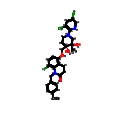 COc1ccc(CN2C(=O)CCc3c(OC[C@@]4(O)CCN(c5ncc(Cl)cc5Cl)C[C@]4(C)O)ccc(F)c32)cc1